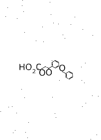 O=C(O)C(=O)CC(=O)c1cccc(OCc2ccccc2)c1